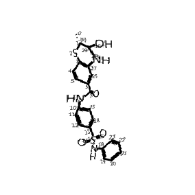 C[C@H]1Sc2ccc(C(=O)Nc3ccc(S(=O)(=O)Nc4ccccc4)cc3)cc2NC1O